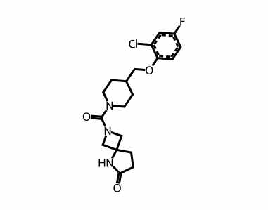 O=C1CCC2(CN(C(=O)N3CCC(COc4ccc(F)cc4Cl)CC3)C2)N1